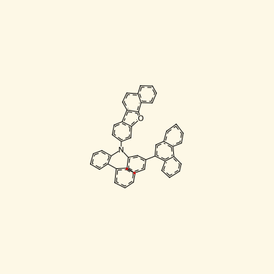 c1ccc(-c2ccccc2N(c2cccc(-c3cc4ccccc4c4ccccc34)c2)c2ccc3c(c2)oc2c4ccccc4ccc32)cc1